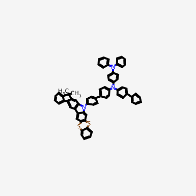 CC1(C)c2ccccc2-c2cc3c4cc5c(cc4n(-c4ccc(-c6ccc(N(c7ccc(-c8ccccc8)cc7)c7ccc(N(c8ccccc8)c8ccccc8)cc7)cc6)cc4)c3cc21)Sc1ccccc1S5